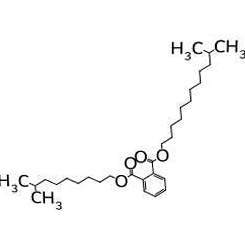 CC(C)CCCCCCCCCCOC(=O)c1ccccc1C(=O)OCCCCCCCC(C)C